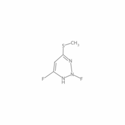 CSC1=NN(F)NC(F)=C1